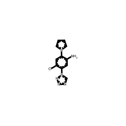 Nc1cc(-n2cnnn2)c(Cl)cc1-n1cccc1